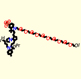 CCCC1(C)C(C=CC2=C(N3CCCC3)C(=CC=C3N(CCOCCOCCOCCOCCOCCOCCOCCOCCOCCOCCOC)c4ccc(S(=O)(=O)[O-])cc4C3(C)C)CC2)=[N+](CCCCCC(=O)O)c2ccc(C)cc21